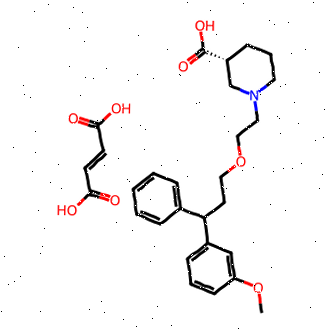 COc1cccc(C(CCOCCN2CCC[C@@H](C(=O)O)C2)c2ccccc2)c1.O=C(O)/C=C/C(=O)O